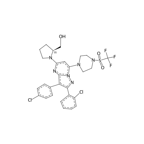 O=S(=O)(N1CCN(c2cc(N3CCC[C@H]3CO)nc3c(-c4ccc(Cl)cc4)c(-c4ccccc4Cl)nn23)CC1)C(F)(F)F